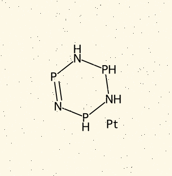 [Pt].n1p[nH][pH][nH][pH]1